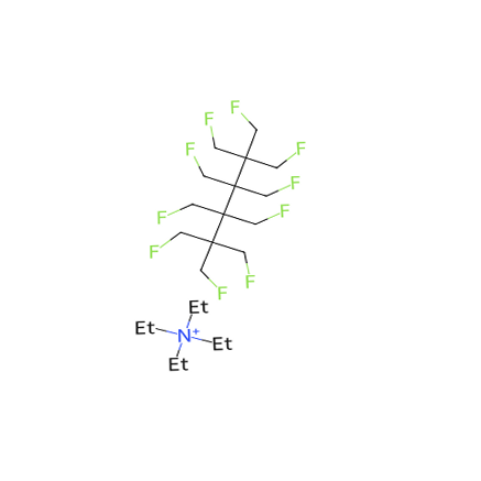 CC[N+](CC)(CC)CC.FCC(CF)(CF)C(CF)(CF)C(CF)(CF)C(CF)(CF)CF